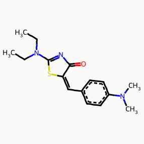 CCN(CC)C1=NC(=O)/C(=C\c2ccc(N(C)C)cc2)S1